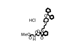 COC(=O)CNC(=O)Cn1c(=O)c2ccccc2n(CCCCN2CCC(OC(c3ccccc3)c3ccccc3)CC2)c1=O.Cl